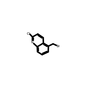 Clc1ccc2c(CBr)cccc2n1